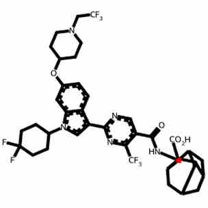 O=C(NC1(C(=O)O)C2CCC3CC(C2)CC1C3)c1cnc(-c2cn(C3CCC(F)(F)CC3)c3cc(OC4CCN(CC(F)(F)F)CC4)ccc23)nc1C(F)(F)F